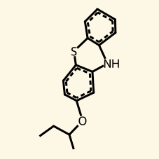 CCC(C)Oc1ccc2c(c1)Nc1ccccc1S2